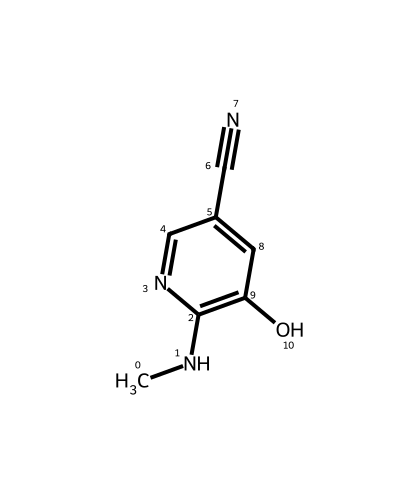 CNc1ncc(C#N)cc1O